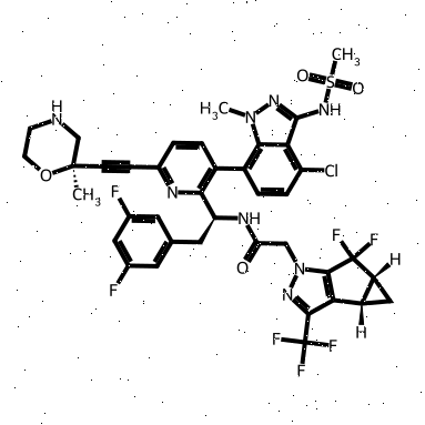 Cn1nc(NS(C)(=O)=O)c2c(Cl)ccc(-c3ccc(C#C[C@]4(C)CNCCO4)nc3[C@H](Cc3cc(F)cc(F)c3)NC(=O)Cn3nc(C(F)(F)F)c4c3C(F)(F)[C@@H]3C[C@H]43)c21